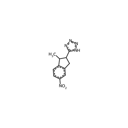 CC1c2ccc([N+](=O)[O-])cc2CC1c1nnn[nH]1